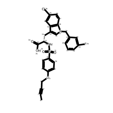 CC#CCOc1ccc(S(=O)(=O)N[C@@H](Cc2cn(Cc3cccc(F)c3)c3ccc(Cl)cc23)C(=O)O)cc1